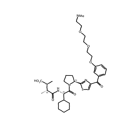 CNCCOCCOCCOc1cccc(C(=O)c2csc([C@@H]3CCCN3C(=O)[C@@H](NC(=O)[C@H](C)N(C)C(=O)O)C3CCCCC3)n2)c1